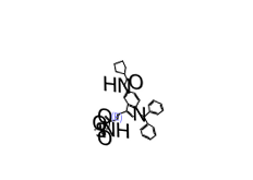 CS(=O)(=O)NC(=O)/C=C/c1cn(C(c2ccccc2)c2ccccc2)c2ccc(NC(=O)C3CCCC3)cc12